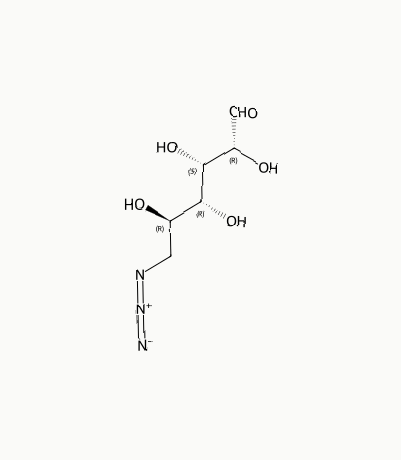 [N-]=[N+]=NC[C@@H](O)[C@@H](O)[C@H](O)[C@@H](O)C=O